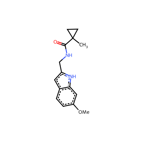 COc1ccc2cc(CNC(=O)C3(C)CC3)[nH]c2c1